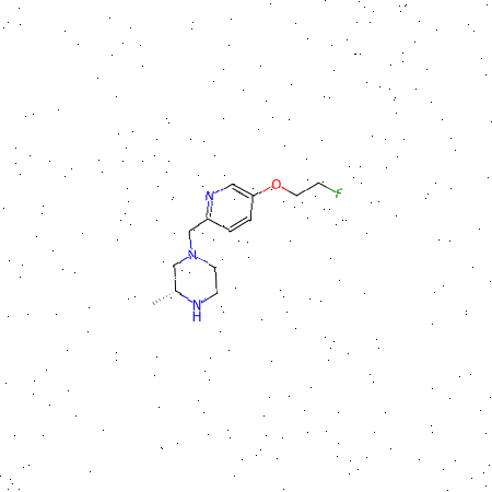 C[C@@H]1CN(Cc2ccc(OCCF)cn2)CCN1